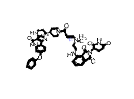 CN(/C=C/C(=O)N1CCC([C@@H]2CCNc3c(C(N)=O)c(-c4ccc(Oc5ccccc5)cc4)nn32)CC1)CCNc1cccc2c1C(=O)N(C1CCC(=O)NC1=O)C2=O